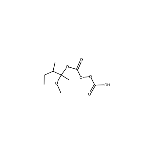 CCC(C)C(C)(OC)OC(=O)OOC(=O)O